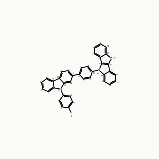 Fc1ccc(-n2c3ccccc3c3ccc(-c4ccc(-n5c6ccccc6c6oc7ccccc7c65)cc4)cc32)cc1